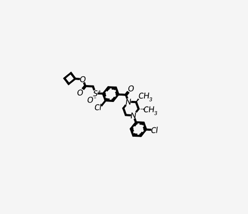 C[C@H]1[C@H](C)N(c2cccc(Cl)c2)CCN1C(=O)c1ccc([S+]([O-])CC(=O)OC2CCC2)c(Cl)c1